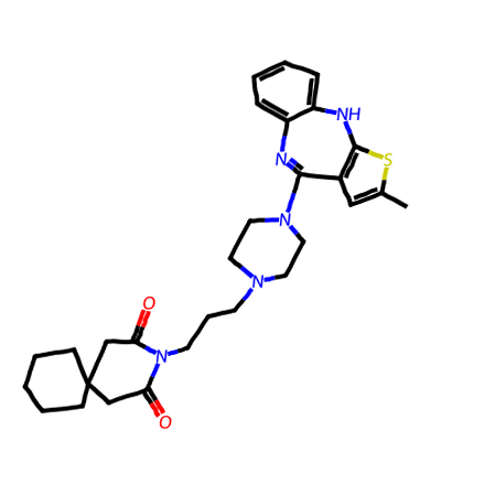 Cc1cc2c(s1)Nc1ccccc1N=C2N1CCN(CCCN2C(=O)CC3(CCCCC3)CC2=O)CC1